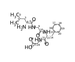 CC(C)C[C@@H](N)C(=O)NCC(=O)N[C@H](Cc1ccccc1)C(=O)NCC(=O)O